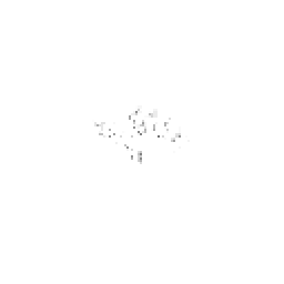 CN1CCN([C@@H]2CCC[C@@H](n3cc(-c4ccc(Oc5ccccc5)cc4)c4c(N)ncnc43)C2)CC1.Cl.Cl.Cl